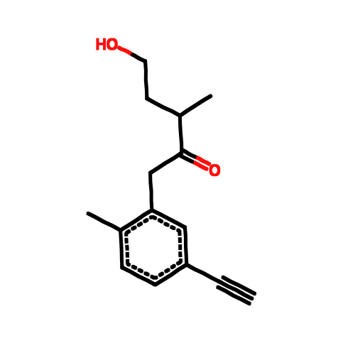 C#Cc1ccc(C)c(CC(=O)C(C)CCO)c1